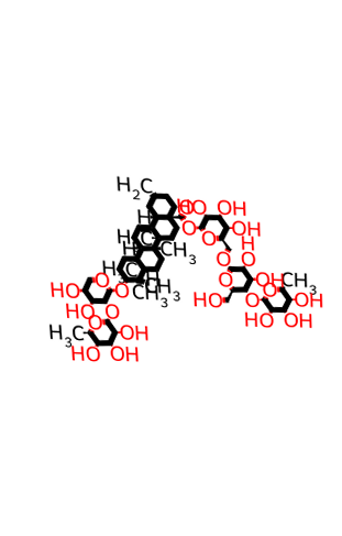 C=C1CC[C@]2(C(=O)O[C@@H]3O[C@H](CO[C@@H]4O[C@H](CO)[C@@H](O[C@@H]5O[C@@H](C)[C@H](O)[C@@H](O)[C@H]5O)[C@H](O)[C@H]4O)[C@@H](O)[C@H](O)[C@H]3O)CC[C@]3(C)C(=CC[C@@H]4[C@@]5(C)CC[C@H](O[C@@H]6OC[C@H](O)[C@H](O)[C@H]6O[C@@H]6O[C@@H](C)[C@H](O)[C@@H](O)[C@H]6O)C(C)(C)[C@@H]5CC[C@]43C)[C@@H]2C1